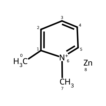 Cc1cccc[n+]1C.[Zn]